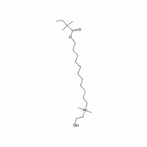 CCC(C)(C)C(=O)OCCCCCCCCCCC[N+](C)(C)CCO